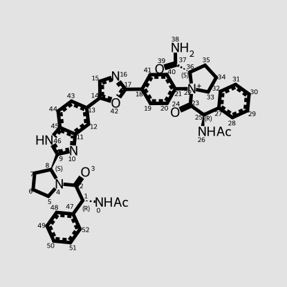 CC(=O)N[C@@H](C(=O)N1CCC[C@H]1c1nc2cc(-c3cnc(-c4ccc([N+]5(C(=O)[C@H](NC(C)=O)c6ccccc6)CCC[C@H]5C(N)=O)cc4)o3)ccc2[nH]1)c1ccccc1